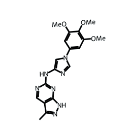 COc1cc(-n2cnc(Nc3ncc4c(C)n[nH]c4n3)c2)cc(OC)c1OC